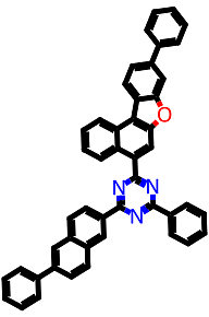 c1ccc(-c2ccc3cc(-c4nc(-c5ccccc5)nc(-c5cc6oc7cc(-c8ccccc8)ccc7c6c6ccccc56)n4)ccc3c2)cc1